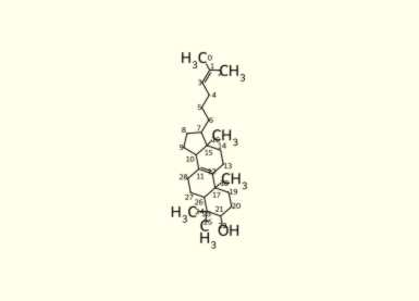 CC(C)=CCCCC1CCC2C3=C(CCC12C)C1(C)CCC(O)C(C)(C)C1CC3